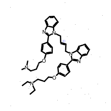 CCN(CC)CCCOc1ccc(-c2nc3ccccc3n2C/C=C/Cn2c(-c3ccc(OCCCN(C)C)cc3)nc3ccccc32)cc1